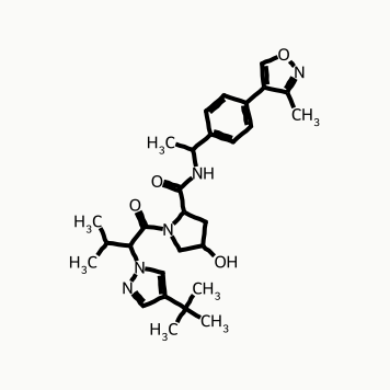 Cc1nocc1-c1ccc(C(C)NC(=O)C2CC(O)CN2C(=O)C(C(C)C)n2cc(C(C)(C)C)cn2)cc1